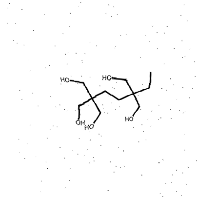 CCC(CO)(CO)CCC(CO)(CO)CO